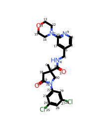 CC1(C(=O)NCc2ccnc(N3CCOCC3)c2)CC(=O)N(c2cc(Cl)cc(Cl)c2)C1